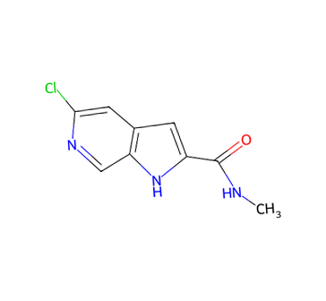 CNC(=O)c1cc2cc(Cl)ncc2[nH]1